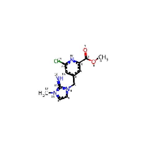 COC(=O)c1cc(Cn2ccn(C)c2=N)cc(Cl)n1